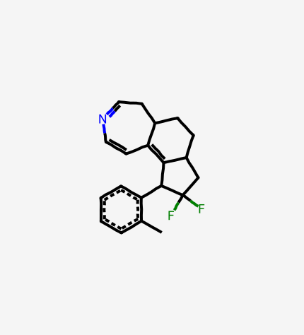 Cc1ccccc1C1C2=C3C=CN=CCC3CCC2CC1(F)F